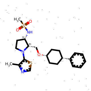 Cc1ncsc1N1CC[C@H](NS(C)(=O)=O)[C@@H]1CO[C@H]1CC[C@@H](c2ccccc2)CC1